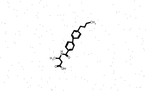 CCCCc1ccc(-c2ccc(C(=O)NC(C)CC(=O)O)cc2)cc1